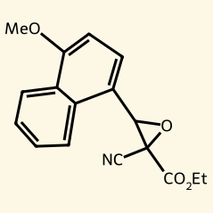 CCOC(=O)C1(C#N)OC1c1ccc(OC)c2ccccc12